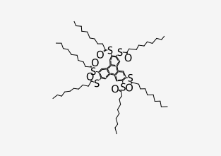 CCCCCCCCCC(=O)Sc1cc2c3cc(SC(=O)CCCCCCCCC)c(SC(=O)CCCCCCCCC)cc3c3cc(SC(=O)CCCCCCCCC)c(SC(=O)CCCCCCCCC)cc3c2cc1SC(=O)CCCCCCCCC